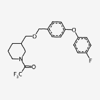 O=C(N1CCCC(COCc2ccc(Oc3ccc(F)cc3)cc2)C1)C(F)(F)F